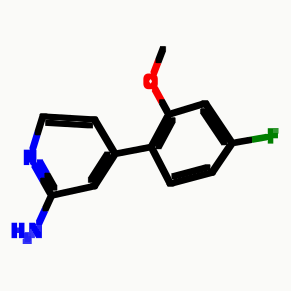 COc1cc(F)ccc1-c1ccnc(N)c1